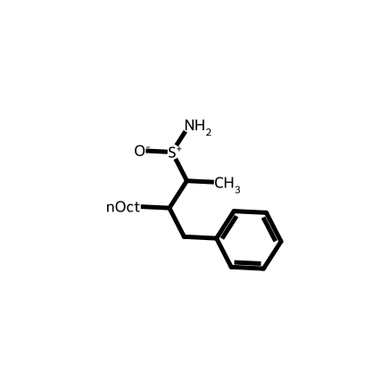 CCCCCCCCC(Cc1ccccc1)C(C)[S+](N)[O-]